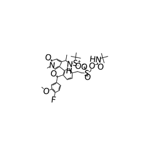 COc1cc(C(=O)c2ccc(CCS(=O)(=O)COC(=O)NC(C)(C)C)cc2-c2cn(C)c(=O)cc2C(C)N[S@@+]([O-])C(C)(C)C)ccc1F